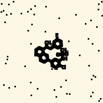 CN(Cc1cccc(F)c1)c1ccnc2ccc(-c3cnc(Cl)c(NS(C)(=O)=O)c3)cc12